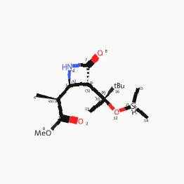 COC(=O)[C@@H](C)[C@H]1NC(=O)[C@@H]1[C@@](C)(O[SiH](C)C)C(C)(C)C